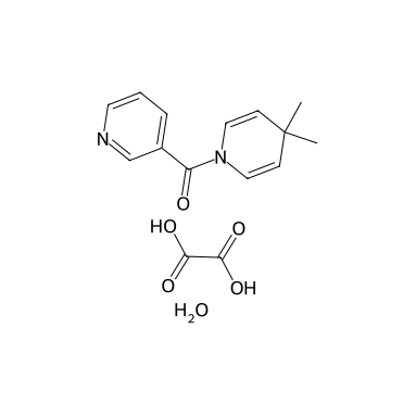 CC1(C)C=CN(C(=O)c2cccnc2)C=C1.O.O=C(O)C(=O)O